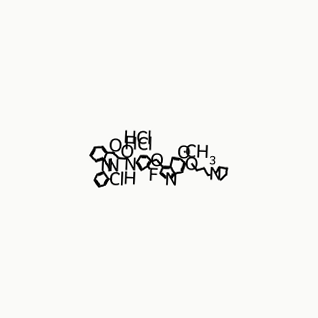 COc1cc2c(Oc3ccc(NC(=O)c4nn(-c5ccccc5Cl)c5ccccc5c4=O)cc3F)ccnc2cc1OCCCN1CCCC1.Cl.Cl